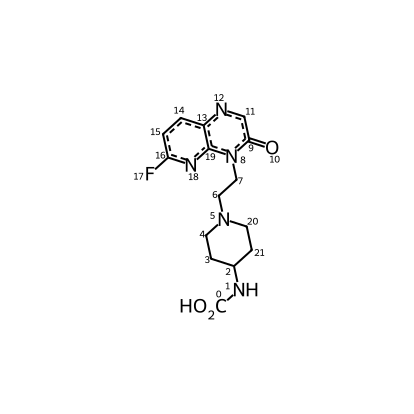 O=C(O)NC1CCN(CCn2c(=O)cnc3ccc(F)nc32)CC1